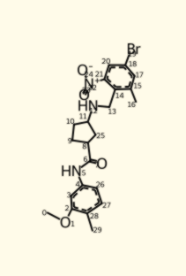 COc1cc(NC(=O)C2CCC(NCc3c(C)cc(Br)cc3[N+](=O)[O-])C2)ccc1C